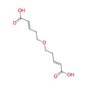 O=C(O)C=CCCOCCC=CC(=O)O